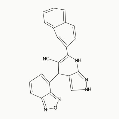 N#CC1=C(c2ccc3ccccc3c2)Nc2n[nH]cc2C1c1cccc2nonc12